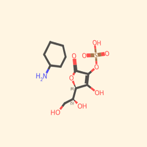 NC1CCCCC1.O=C1O[C@H]([C@@H](O)CO)C(O)=C1OS(=O)(=O)O